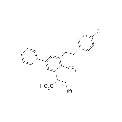 CC(C)CC(C(=O)O)c1cc(-c2ccccc2)cc(CCc2ccc(Cl)cc2)c1C(F)(F)F